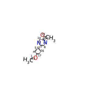 CCOc1ccc(-c2cnc(C(C)=O)cn2)cc1